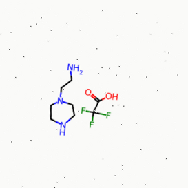 NCCN1CCNCC1.O=C(O)C(F)(F)F